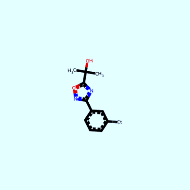 CCc1cccc(-c2noc(C(C)(C)O)n2)c1